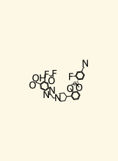 Cn1c(CN2CCC(c3cccc4c3OC[C@H](c3ccc(C#N)cc3F)O4)CC2)nc2c(OC(F)F)cc(C(=O)O)cc21